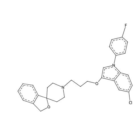 Fc1ccc(-n2cc(OCCCN3CCC4(CC3)OCc3ccccc34)c3cc(Cl)ccc32)cc1